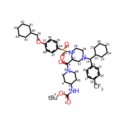 CC(C)(C)OC(=O)NC1CCN(C(=O)C2CN(C(c3ccc(C(F)(F)F)cc3)C3CCCCC3)CCN2S(=O)(=O)c2ccc(OCC3CCCCC3)cc2)CC1